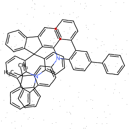 CC1(C)c2ccccc2-c2ccc(N(c3ccc(-c4ccccc4)cc3-c3ccccc3)c3cccc4c3C3(c5ccccc5-4)c4ccccc4-n4c5ccccc5c5cccc3c54)cc21